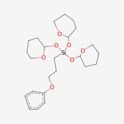 c1ccc(OCCC[Si](OC2CCCCO2)(OC2CCCCO2)OC2CCCCO2)cc1